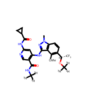 [2H]C([2H])([2H])NC(=O)c1cnc(NC(=O)C2CC2)cc1Nc1nn(C)c2ccc([C@@H](OC([2H])([2H])[2H])C(F)(F)F)c(OC)c12